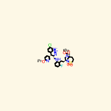 CC(C)Oc1ccc([C@H](c2ccc(Cl)cc2)[C@@H](CNc2cccc(F)c2CC[C@H]2CN(C(=O)OC(C)(C)C)[C@@H]3CCCS(=O)(=O)N2C3)N=[N+]=[N-])cn1